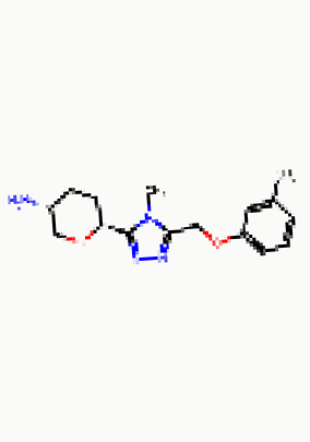 Cc1cccc(OCc2nnc([C@@H]3CC[C@@H](N)CO3)n2C)c1